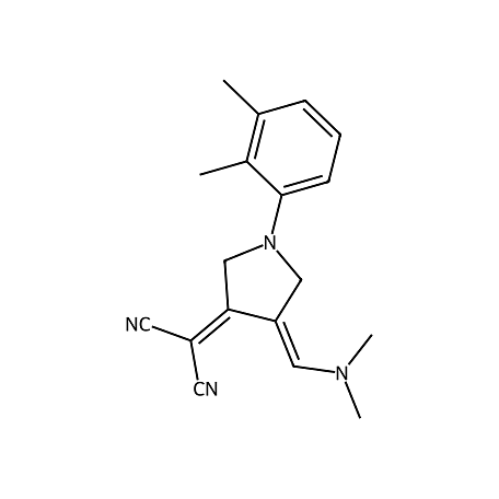 Cc1cccc(N2CC(=CN(C)C)C(=C(C#N)C#N)C2)c1C